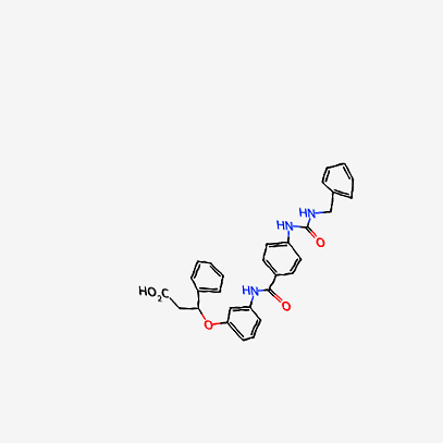 O=C(O)CC(Oc1cccc(NC(=O)c2ccc(NC(=O)NCc3ccccc3)cc2)c1)c1ccccc1